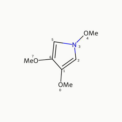 COc1cn(OC)cc1OC